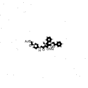 COc1c(C(=O)CNC2CCN(C(=O)COC(C)=O)CC2)n(C)c2c1c(=O)n(CC(=O)c1ccccc1)c1ccccc21